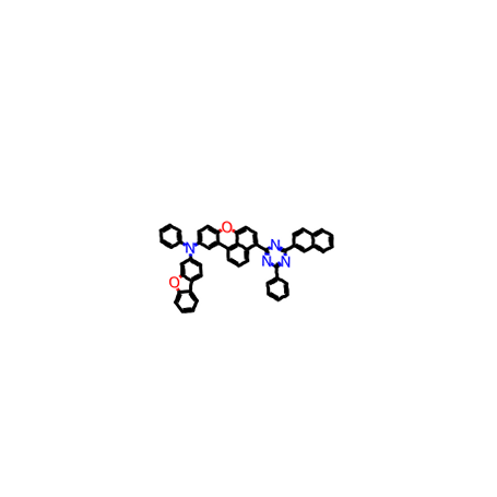 c1ccc(-c2nc(-c3ccc4ccccc4c3)nc(-c3ccc4c5c(cccc35)-c3cc(N(c5ccccc5)c5ccc6c(c5)oc5ccccc56)ccc3O4)n2)cc1